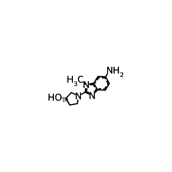 Cn1c(N2CC[C@H](O)C2)nc2ccc(N)cc21